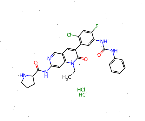 CCn1c(=O)c(-c2cc(NC(=O)Nc3ccccc3)c(F)cc2Cl)cc2cnc(NC(=O)C3CCCN3)cc21.Cl.Cl